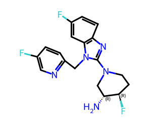 N[C@@H]1CN(c2nc3ccc(F)cc3n2Cc2ccc(F)cn2)CC[C@H]1F